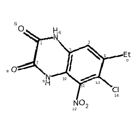 CCc1cc2[nH]c(=O)c(=O)[nH]c2c([N+](=O)[O-])c1Cl